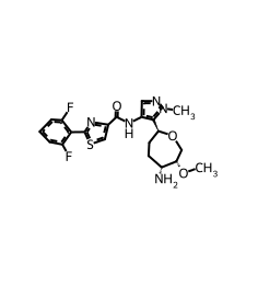 CO[C@H]1CO[C@H](c2c(NC(=O)c3csc(-c4c(F)cccc4F)n3)cnn2C)CC[C@H]1N